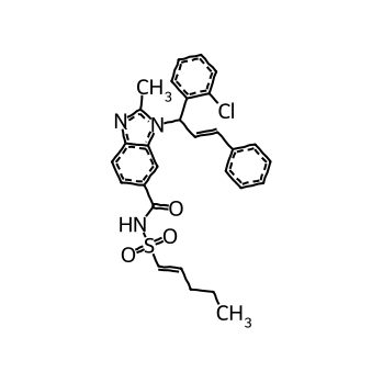 CCCC=CS(=O)(=O)NC(=O)c1ccc2nc(C)n(C(C=Cc3ccccc3)c3ccccc3Cl)c2c1